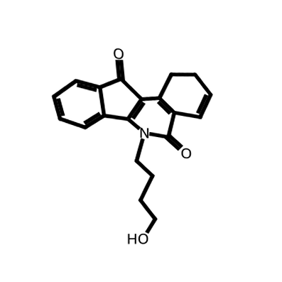 O=C1c2ccccc2-c2c1c1c(c(=O)n2CCCCO)C=CCC1